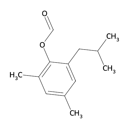 Cc1cc(C)c(OC=O)c(CC(C)C)c1